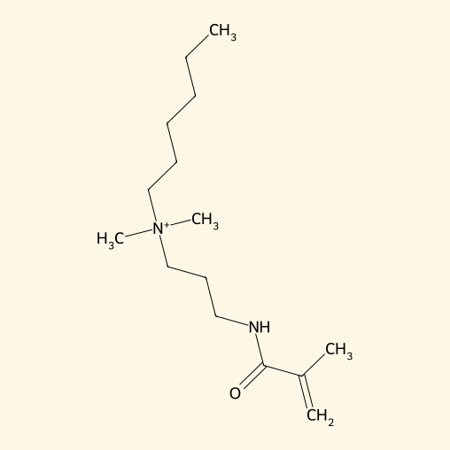 C=C(C)C(=O)NCCC[N+](C)(C)CCCCCC